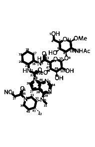 CO[C@@H]1OC(CO)[C@@H](O)[C@H](O[C@@H]2OC(C(=O)NC3CCCCC3NC(=O)n3ccc4c(N(C)[C@H]5CN(C(=O)CC#N)CC[C@H]5C)ncnc43)[C@@H](OC)[C@H](O)C2O)C1NC(C)=O